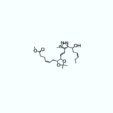 CC/C=C\C[C@H](O)c1nnn(C)c1/C=C/[C@H]1OC(C)(C)O[C@H]1C/C=C\CCC(=O)OC